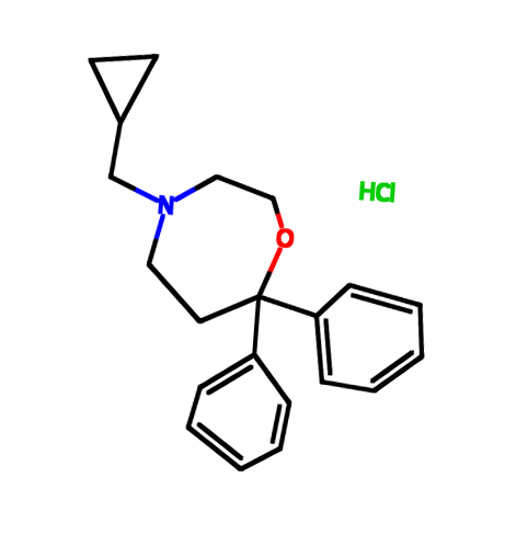 Cl.c1ccc(C2(c3ccccc3)CCN(CC3CC3)CCO2)cc1